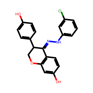 Oc1ccc(C2COc3cc(O)ccc3C2=NNc2cccc(Cl)c2)cc1